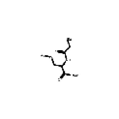 COC(=O)C(CSC(C)=O)NC(=O)CC(C)(C)C